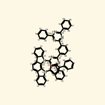 c1ccc(-c2ccc(-n3c4ccccc4c4ccc5c6ccccc6n(-c6nc(-c7ccccc7)nc(-c7cccc(-c8nc(-c9ccccc9)nc(-c9ccccc9)n8)c7)n6)c5c43)cc2)cc1